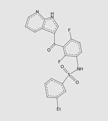 CCc1cccc(S(=O)(=O)Nc2ccc(F)c(C(=O)c3c[nH]c4ncccc34)c2F)c1